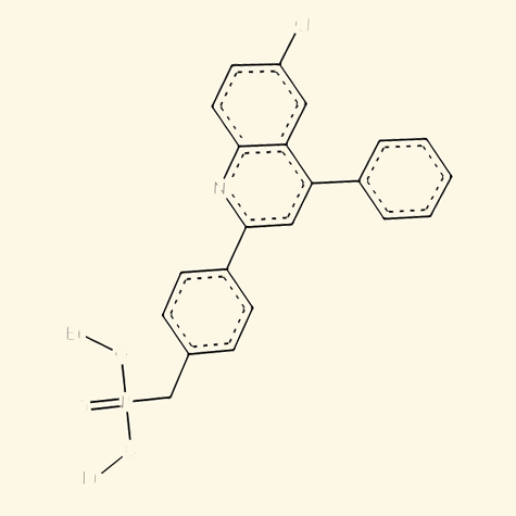 CCOP(=O)(Cc1ccc(-c2cc(-c3ccccc3)c3cc(Cl)ccc3n2)cc1)OCC